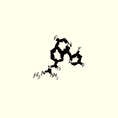 NC(N)=NC(=O)c1ccc2c(F)cnc(-c3ncc(F)cc3F)c2c1